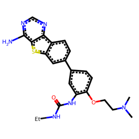 CCNC(=O)Nc1cc(-c2ccc3c(c2)sc2c(N)ncnc23)ccc1OCCN(C)C